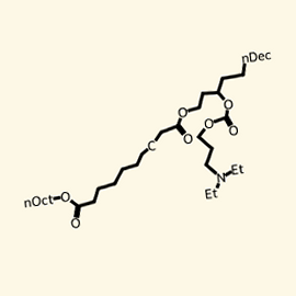 CCCCCCCCCCCCC(CCOC(=O)CCCCCCCCC(=O)OCCCCCCCC)OC(=O)OCCCN(CC)CC